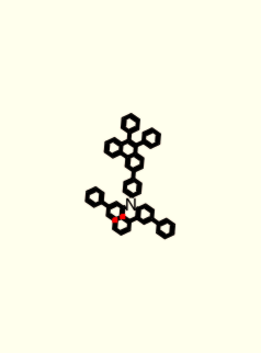 c1ccc(-c2cccc(N(c3ccc(-c4ccc5c(-c6ccccc6)c(-c6ccccc6)c6ccccc6c5c4)cc3)c3ccc(-c4ccccc4)cc3-c3ccccc3)c2)cc1